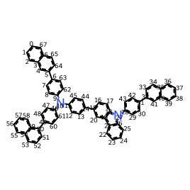 c1ccc2cc(-c3ccc(N(c4ccc(-c5ccc6c(c5)c5ccccc5n6-c5ccc(-c6ccc7ccccc7c6)cc5)cc4)c4ccc(-c5cccc6ccccc56)cc4)cc3)ccc2c1